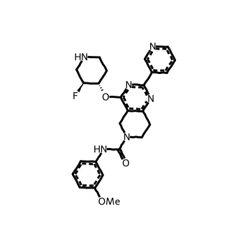 COc1cccc(NC(=O)N2CCc3nc(-c4cccnc4)nc(O[C@H]4CCNC[C@@H]4F)c3C2)c1